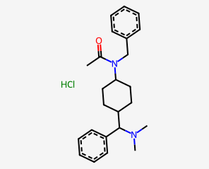 CC(=O)N(Cc1ccccc1)C1CCC(C(c2ccccc2)N(C)C)CC1.Cl